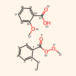 CCc1ccccc1C(=O)OOC.COc1ccccc1C(=O)O